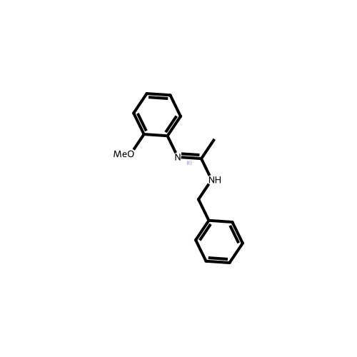 COc1ccccc1/N=C(\C)NCc1ccccc1